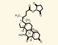 C[C@H](CCC(=O)ON1C(=O)CCC1=O)[C@H]1CC[C@H]2[C@@H]3[C@H](O)C(=O)[C@@H]4CC(=O)CC[C@]4(C)[C@H]3CC[C@]12C